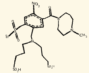 CCS(=O)(=O)c1cc([N+](=O)[O-])c(C(=O)N2CCN(C)CC2)cc1N(CCCS(=O)(=O)O)CCCS(=O)(=O)O